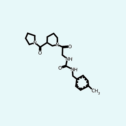 Cc1ccc(CNC(=O)NCC(=O)N2CCCC(C(=O)N3CCCC3)C2)cc1